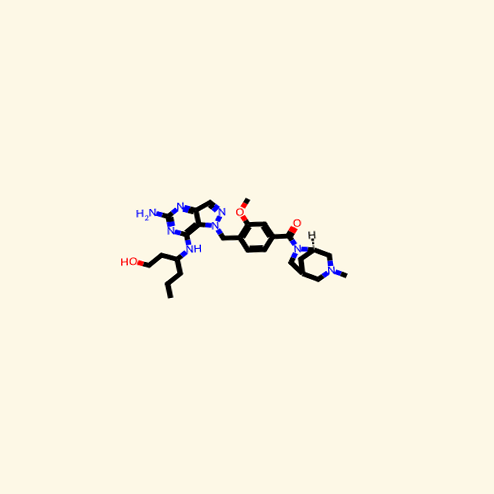 CCCC(CCO)Nc1nc(N)nc2cnn(Cc3ccc(C(=O)N4CC5C[C@@H]4CN(C)C5)cc3OC)c12